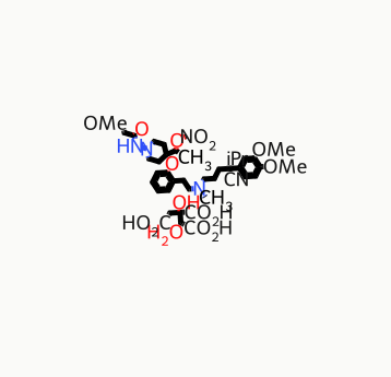 COCC(=O)NN1CCC(Oc2ccccc2CCN(C)CCCC(C#N)(c2ccc(OC)c(OC)c2)C(C)C)(C(C)O[N+](=O)[O-])CC1.O.O=C(O)CC(O)(CC(=O)O)C(=O)O